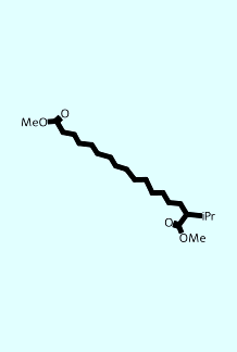 COC(=O)CCCCCCCCCCCCCCC(C(=O)OC)C(C)C